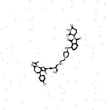 Cc1c(C#C/C(C=N)=C/NCCN2CCC(Nc3cccc4c3C(=O)N(C3CCC(=O)NC3=O)C4=O)CC2)sc2c1C(c1ccc(Cl)cc1)=NCc1nnc(C)n1-2